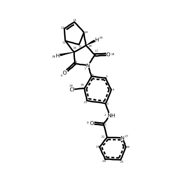 O=C(Nc1ccc(N2C(=O)[C@@H]3C4C=CC(C4)[C@@H]3C2=O)c(Cl)c1)c1ccccn1